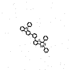 c1ccc(-c2nc(-c3ccccc3)c3sc4c(-c5cccc(-c6ccc7c8ccccc8n(-c8ccccc8)c7c6)c5)cccc4c3n2)cc1